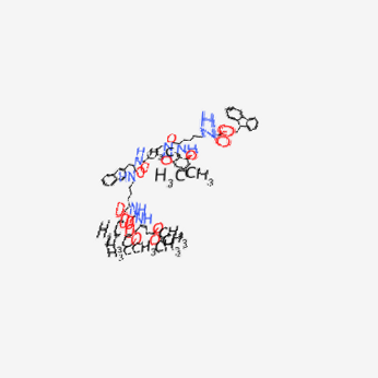 COC(=O)C(CCCCNC(=O)C(Cc1ccc2ccccc2c1)NC(=O)C1CCC(CNC(=O)C(CCCCNC(=O)OCC2c3ccccc3-c3ccccc32)NC(C)=C2C(=O)CC(C)(C)CC2=O)CC1)NC(=O)NC(CCC(=O)OC(C)(C)C)C(=O)OC(C)(C)C